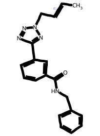 C/C=C/Cn1nnc(-c2cccc(C(=O)NCc3ccccc3)c2)n1